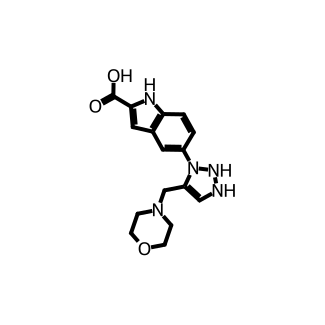 O=C(O)c1cc2cc(N3NNC=C3CN3CCOCC3)ccc2[nH]1